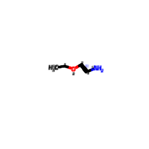 CCO/C=C/N